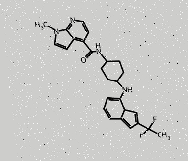 Cn1ccc2c(C(=O)NC3CCC(NC4=CC=CC5=CC(C(C)(F)F)=CC54)CC3)ccnc21